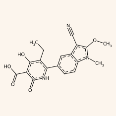 CCc1c(-c2ccc3c(c2)c(C#N)c(OC)n3C)[nH]c(=O)c(C(=O)O)c1O